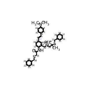 CN(C)c1ccc(/C=C/c2ccc(NC(=O)CSCc3ccccc3)c(CNCC(C)(C)SCc3ccccc3)c2)cc1